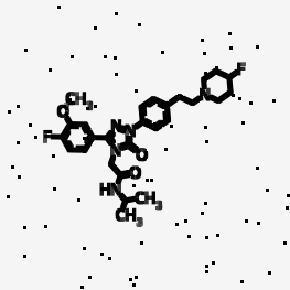 COc1cc(-c2nn(-c3ccc(CCN4CCC(F)CC4)cc3)c(=O)n2CC(=O)NC(C)C)ccc1F